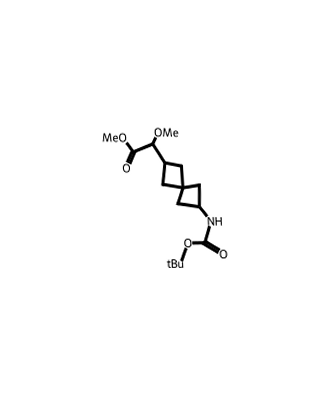 COC(=O)C(OC)C1CC2(CC(NC(=O)OC(C)(C)C)C2)C1